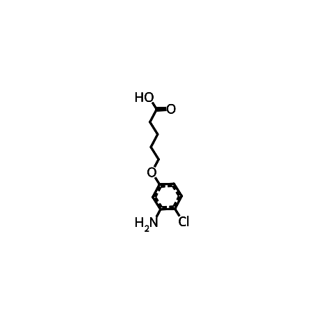 Nc1cc(OCCCCC(=O)O)ccc1Cl